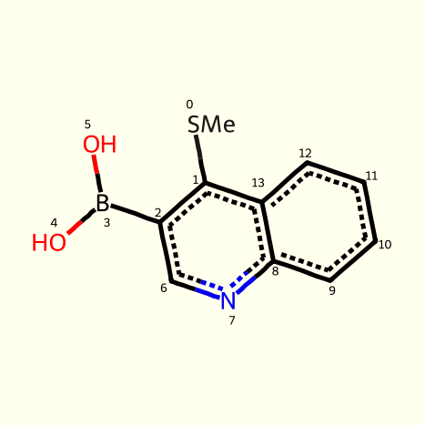 CSc1c(B(O)O)cnc2ccccc12